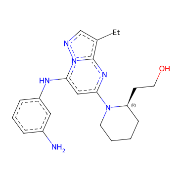 CCc1cnn2c(Nc3cccc(N)c3)cc(N3CCCC[C@@H]3CCO)nc12